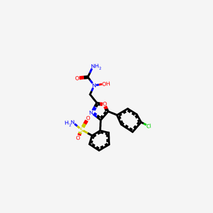 NC(=O)N(O)Cc1nc(-c2ccccc2S(N)(=O)=O)c(-c2ccc(Cl)cc2)o1